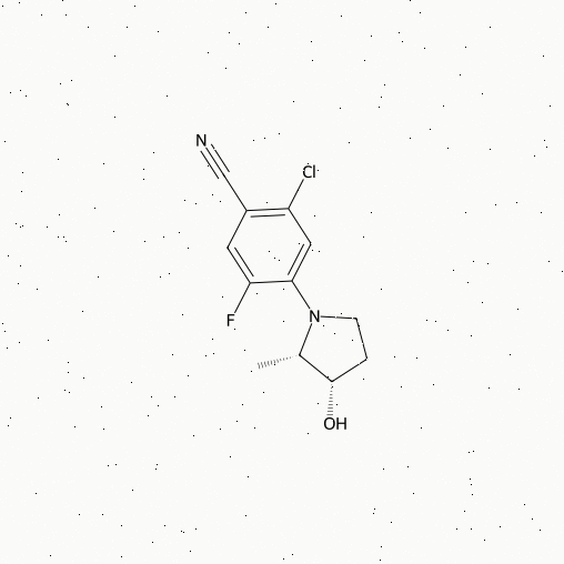 C[C@H]1[C@@H](O)CCN1c1cc(Cl)c(C#N)cc1F